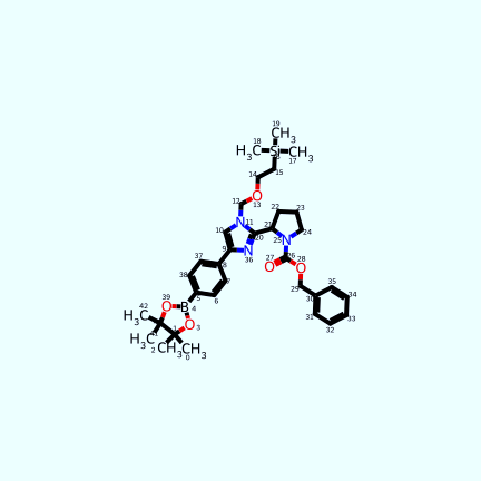 CC1(C)OB(c2ccc(-c3cn(COCC[Si](C)(C)C)c(C4CCCN4C(=O)OCc4ccccc4)n3)cc2)OC1(C)C